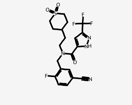 N#Cc1ccc(F)c(CN(CCC2CCS(=O)(=O)CC2)C(=O)c2cc(C(F)(F)F)n[nH]2)c1